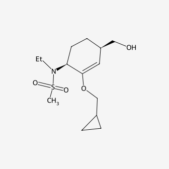 CCN([C@H]1CC[C@@H](CO)C=C1OCC1CC1)S(C)(=O)=O